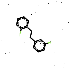 Fc1cccc([CH]Cc2ccccc2F)c1